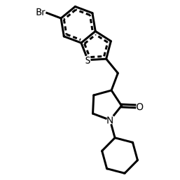 O=C1C(Cc2cc3ccc(Br)cc3s2)CCN1C1CCCCC1